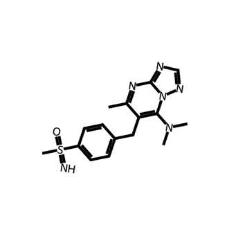 Cc1nc2ncnn2c(N(C)C)c1Cc1ccc(S(C)(=N)=O)cc1